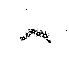 Cc1cc(Nc2nccn3c(-c4ccc(OCC#N)c(F)c4F)cnc23)ccc1C(=O)N1CCN(C[C@H]2CCNC2)CC1